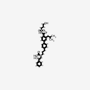 CC(C)Cc1cc(-c2ccc(CCCN(C[C@H](O)c3ccccc3)C(=O)O)cc2)ccc1C(=O)NS(=O)(=O)CCCO